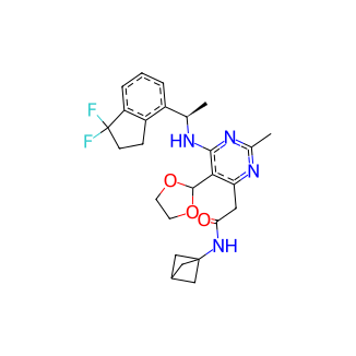 Cc1nc(CC(=O)NC23CC(C2)C3)c(C2OCCO2)c(N[C@H](C)c2cccc3c2CCC3(F)F)n1